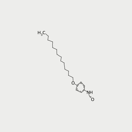 CCCCCCCCCCCCCCOc1ccc(NC=O)cc1